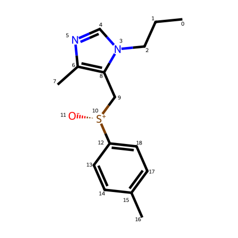 CCCn1cnc(C)c1C[S@@+]([O-])c1ccc(C)cc1